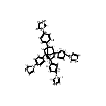 c1cn(-c2ccc(C34CC5(c6ccc(-n7ccnc7)cc6)CC(c6ccc(-n7ccnc7)cc6)(C3)CC(c3ccc(-n6ccnc6)cc3)(C4)C5)cc2)cn1